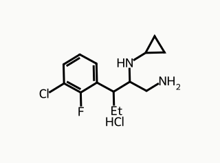 CCC(c1cccc(Cl)c1F)C(CN)NC1CC1.Cl